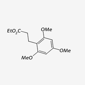 CCOC(=O)CCc1c(OC)cc(OC)cc1OC